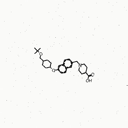 CC(C)(C)OCC1CCC(Oc2ccc3cc(CN4CCC(C(=O)O)CC4)ccc3c2)CC1